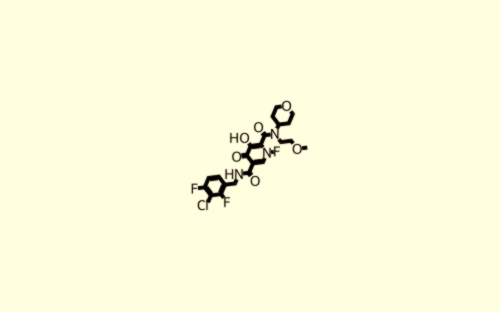 COCCN(C(=O)c1c(O)c(=O)c(C(=O)NCc2ccc(F)c(Cl)c2F)cn1F)C1CCOCC1